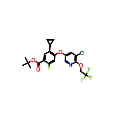 CC(C)(C)OC(=O)c1cc(C2CC2)c(Oc2cnc(OCC(F)(F)F)c(Cl)c2)cc1F